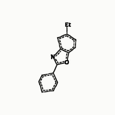 CCc1ccc2oc(-c3ccccc3)nc2c1